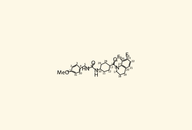 COc1ccc(CNC(=O)NC2CCC(C(=O)N3CCCc4ccc(F)c(F)c43)CC2)cc1